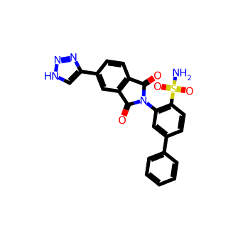 NS(=O)(=O)c1ccc(-c2ccccc2)cc1N1C(=O)c2ccc(-c3c[nH]nn3)cc2C1=O